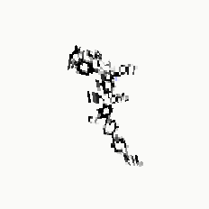 CCO/C=C/c1cnc(Nc2cc(CC)c(N3CCC(N4CCN(C)CC4)CC3)cc2OC)nc1Nc1ccc2nccnc2c1P(C)(C)=O